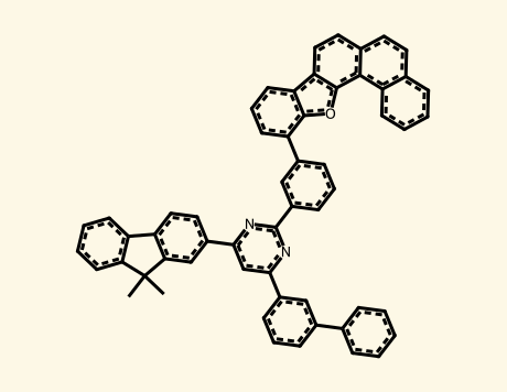 CC1(C)c2ccccc2-c2ccc(-c3cc(-c4cccc(-c5ccccc5)c4)nc(-c4cccc(-c5cccc6c5oc5c6ccc6ccc7ccccc7c65)c4)n3)cc21